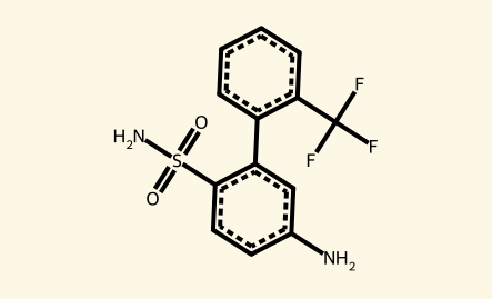 Nc1ccc(S(N)(=O)=O)c(-c2ccccc2C(F)(F)F)c1